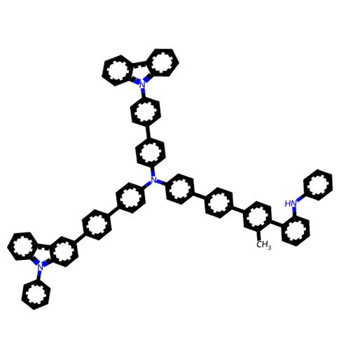 Cc1cc(-c2ccc(-c3ccc(N(c4ccc(-c5ccc(-c6ccc7c(c6)c6ccccc6n7-c6ccccc6)cc5)cc4)c4ccc(-c5ccc(-n6c7ccccc7c7ccccc76)cc5)cc4)cc3)cc2)ccc1-c1ccccc1Nc1ccccc1